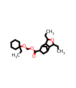 CCC1OC(CC)C2C3CC(CC3C(=O)OCOC3(CC)CCCCC3)C12